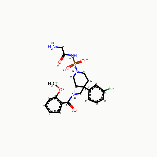 COc1ccccc1C(=O)NCC1(c2cccc(F)c2)CCN(S(=O)(=O)NC(=O)CN)CC1